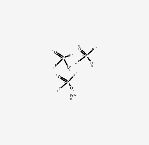 O=P([O-])(F)F.O=P([O-])(F)F.O=P([O-])(F)F.[Er+3]